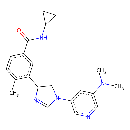 Cc1ccc(C(=O)NC2CC2)cc1C1CN(c2cncc(N(C)C)c2)C=N1